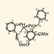 CCCC(C)(Pc1ccccc1/C=N/C)c1cc(OC)cc(OC)c1OCc1ccccc1